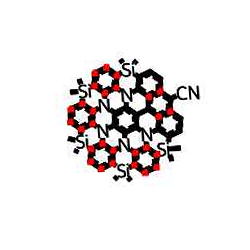 C[Si]1(C)c2ccccc2N(c2c(-c3ccc(C#N)cc3)c(N3c4ccccc4[Si](C)(C)c4ccccc43)c(N3c4ccccc4[Si](C)(C)c4ccccc43)c(N3c4ccccc4[Si](C)(C)c4ccccc43)c2N2c3ccccc3[Si](C)(C)c3ccccc32)c2ccccc21